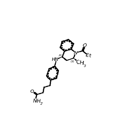 CCC(=O)N1c2ccccc2[C@H](Nc2ccc(CCCC(N)=O)cc2)C[C@@H]1C